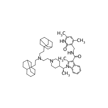 Cc1cc(C)c(CNC(=O)c2c(C)n([C@@H](C)C3CCN(CCN(CCC45CC6CC(CC(C6)C4)C5)CCC45CC6CCC4CCC(C6)C5)CC3)c3ccccc23)c(=O)[nH]1